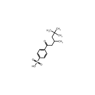 CC(CC(=O)c1ccc(S(=O)(=O)O)cc1)CC(C)(C)C